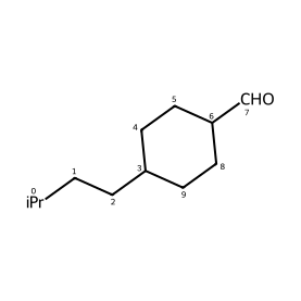 CC(C)CCC1CCC(C=O)CC1